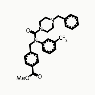 COC(=O)c1ccc(CN(C(=O)N2CCN(Cc3ccccc3)CC2)c2cccc(C(F)(F)F)c2)cc1